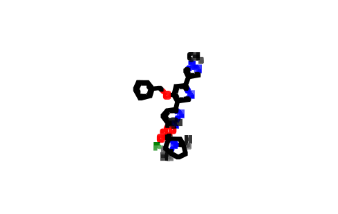 Cn1cc(-c2cc(OCc3ccccc3)c(-c3ccc(O[C@@H]4C[C@H]5CC[C@@H]([C@@H]4F)N5C(=O)OC(C)(C)C)nn3)cn2)cn1